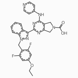 CCOc1cc(F)c(Cn2nc(-c3nc4c(c(Nc5ccncc5)n3)CN(C(=O)O)C4)c3ccccc32)c(F)c1